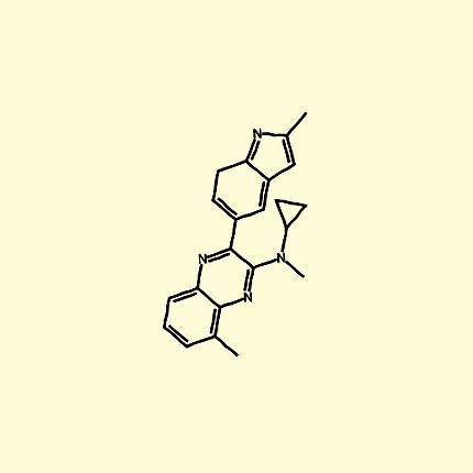 CC1=CC2=CC(c3nc4cccc(C)c4nc3N(C)C3CC3)=CCC2=N1